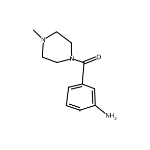 CN1CCN(C(=O)c2cc[c]c(N)c2)CC1